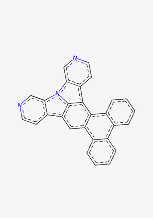 c1ccc2c(c1)c1ccccc1c1c2cc2c3ccncc3n3c4cnccc4c1c23